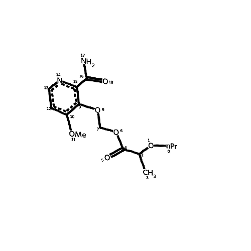 CCCOC(C)C(=O)OCOc1c(OC)ccnc1C(N)=O